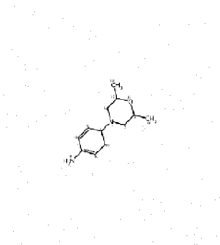 CC1CN(C2C=CC(N)=CC2)CC(C)O1